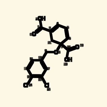 O=C(O)C1=CC=CC(OCc2ccc(Cl)c(Cl)c2)(C(=O)O)C1